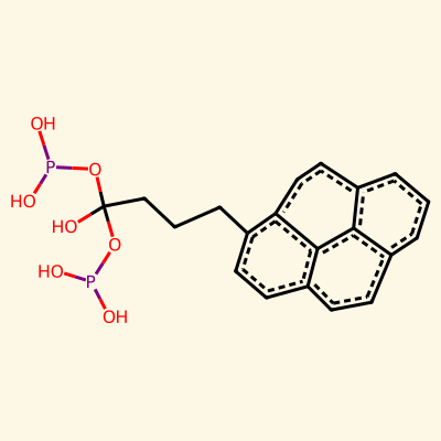 OP(O)OC(O)(CCCc1ccc2ccc3cccc4ccc1c2c34)OP(O)O